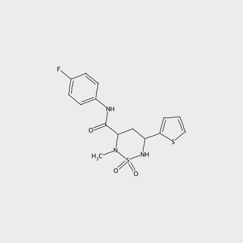 CN1C(C(=O)Nc2ccc(F)cc2)CC(c2cccs2)NS1(=O)=O